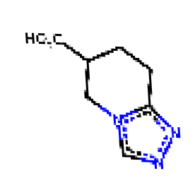 O=C(O)C1CCc2nncn2C1